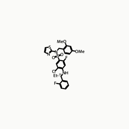 CC[C@H](Nc1cc(F)c(S(=O)(=O)N(Cc2ccc(OC)cc2OC)c2nccs2)cc1Cl)c1ccccc1F